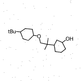 CC(C)(C)C1CCC(OCC(C)(C)C2CCCC(O)C2)CC1